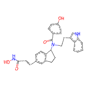 O=C(C=Cc1ccc2c(c1)CCC2N(CCc1c[nH]c2ccccc12)C(=O)c1ccc(O)cc1)NO